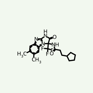 Cc1cc2nc3n(c2cc1C)C(NC(=O)CCC1CCCC1)(C(F)(F)F)C(=O)N3